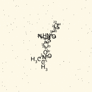 CCN(CC)C(=O)OCC1CCc2c(sc(NC(=O)C=Cc3cccs3)c2C#N)C1